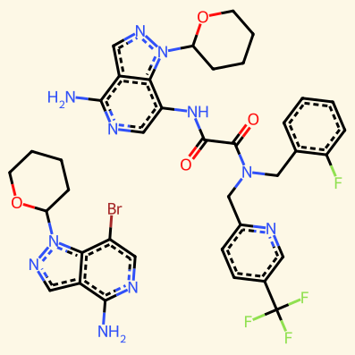 Nc1ncc(Br)c2c1cnn2C1CCCCO1.Nc1ncc(NC(=O)C(=O)N(Cc2ccc(C(F)(F)F)cn2)Cc2ccccc2F)c2c1cnn2C1CCCCO1